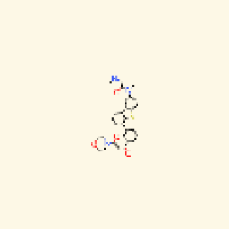 CN(C)CC(=O)N(C)c1ccc2sc3c(-c4cccc5c(=O)cc(N6CCOCC6)oc45)cccc3c2c1